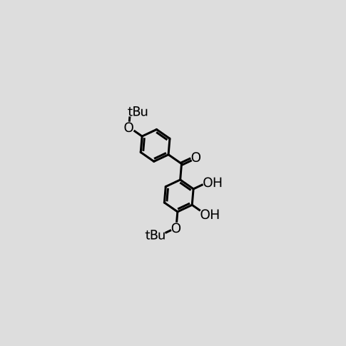 CC(C)(C)Oc1ccc(C(=O)c2ccc(OC(C)(C)C)c(O)c2O)cc1